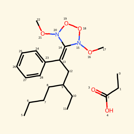 CCC(=O)O.CCCCC(CC)CC(=C1N(OC)OON1OC)c1ccccc1